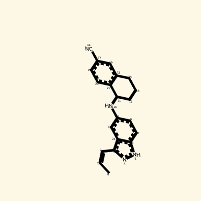 C/C=C\c1n[nH]c2ccc(NC3CCCc4cc(C#N)ccc43)cc12